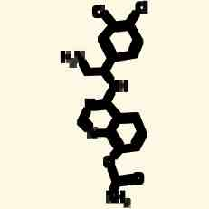 NCC(Nc1ncnc2c(OC(N)=O)cccc12)c1ccc(Cl)c(Cl)c1